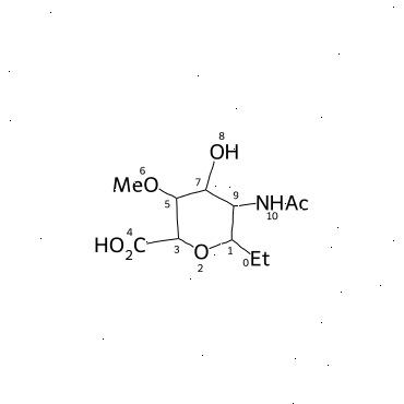 CCC1OC(C(=O)O)C(OC)C(O)C1NC(C)=O